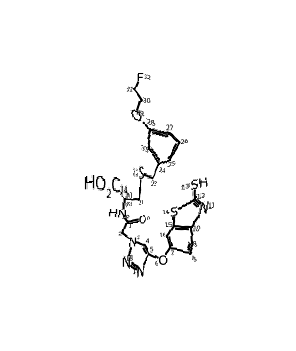 O=C(Cn1cc(Oc2ccc3nc(S)sc3c2)nn1)N[C@@H](CSCc1cccc(OCCF)c1)C(=O)O